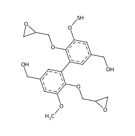 COc1cc(CO)cc(-c2cc(CO)cc(OS)c2OCC2CO2)c1OCC1CO1